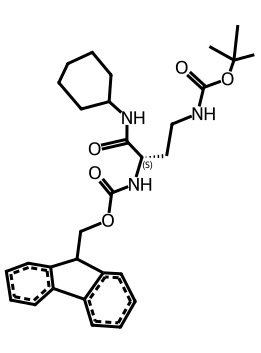 CC(C)(C)OC(=O)NCC[C@H](NC(=O)OCC1c2ccccc2-c2ccccc21)C(=O)NC1CCCCC1